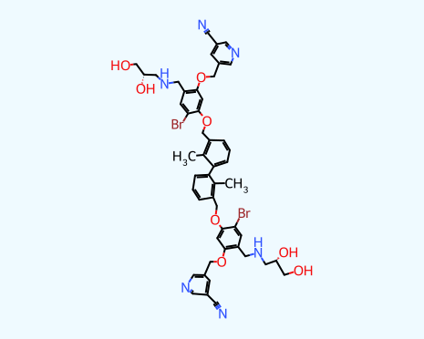 Cc1c(COc2cc(OCc3cncc(C#N)c3)c(CNC[C@H](O)CO)cc2Br)cccc1-c1cccc(COc2cc(OCc3cncc(C#N)c3)c(CNC[C@H](O)CO)cc2Br)c1C